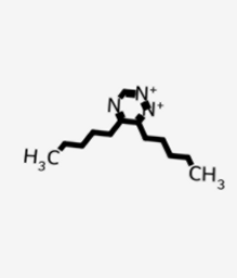 CCCCCC1=NC=[N+]=[N+]=C1CCCCC